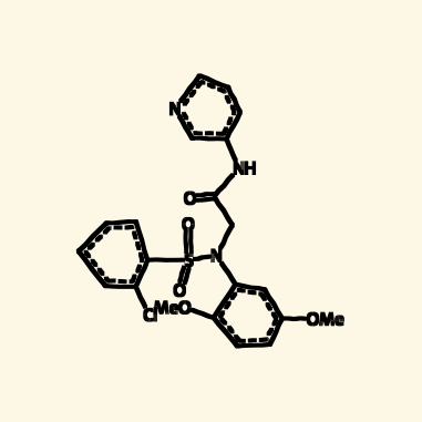 COc1ccc(OC)c(N(CC(=O)Nc2cccnc2)S(=O)(=O)c2ccccc2Cl)c1